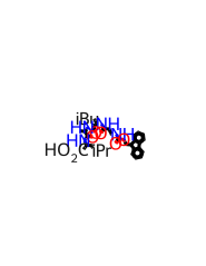 CCC(C)C(NC(=O)CCNC(=O)OCC1c2ccccc2-c2ccccc21)C(=O)NC(C)C(=O)NC(CC(C)C)C(=O)O